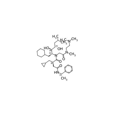 CC(C)C[C@H](O)[C@H](O)[C@H](CC1CCCCC1)N(CC(=O)N(C)CCN(C)C)C(=O)[C@@H](CC(=O)N[C@@H](C)c1ccccc1)CC1CC1